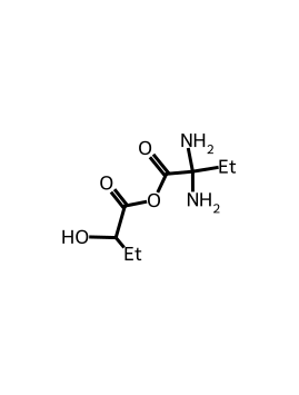 CCC(O)C(=O)OC(=O)C(N)(N)CC